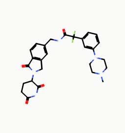 CN1CCN(c2cccc(C(F)(F)C(=O)NCc3ccc4c(c3)CN(C3CCC(=O)NC3=O)C4=O)c2)CC1